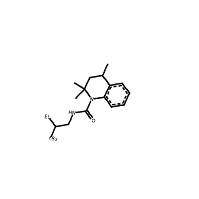 CCCCC(CC)CNC(=O)N1c2ccccc2C(C)CC1(C)C